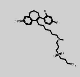 CN(CCCCCCC1=C(c2ccc(F)cc2F)CCCc2cc(O)ccc21)CCCS(=O)(=O)CCCC(F)(F)F